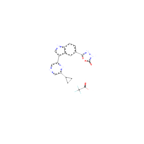 O=C(O)C(F)(F)F.O=c1[nH]nc(-c2ccc3[nH]cc(-c4cncc(C5CC5)n4)c3c2)o1